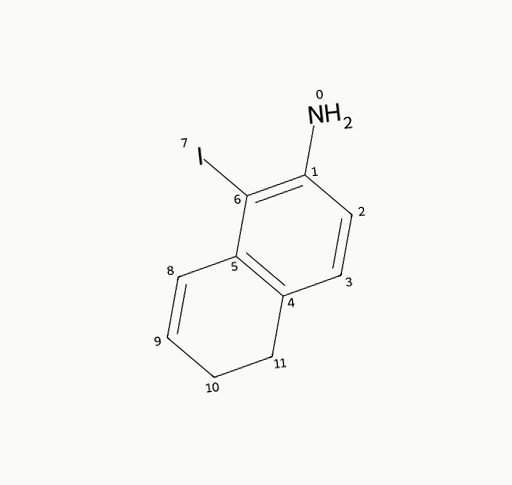 Nc1ccc2c(c1I)C=CCC2